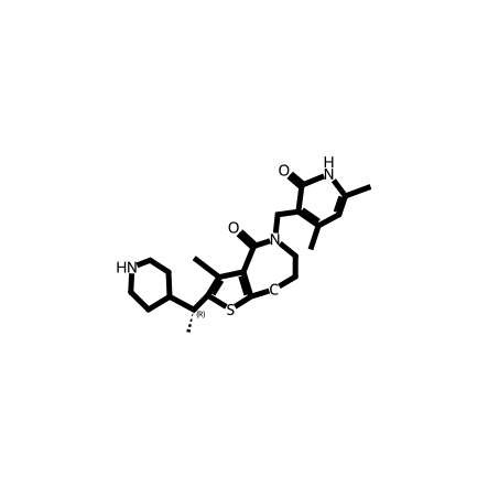 Cc1cc(C)c(CN2CCCc3sc([C@H](C)C4CCNCC4)c(C)c3C2=O)c(=O)[nH]1